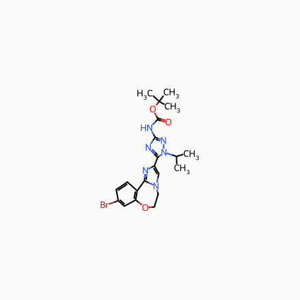 CC(C)n1nc(NC(=O)OC(C)(C)C)nc1-c1cn2c(n1)-c1ccc(Br)cc1OCC2